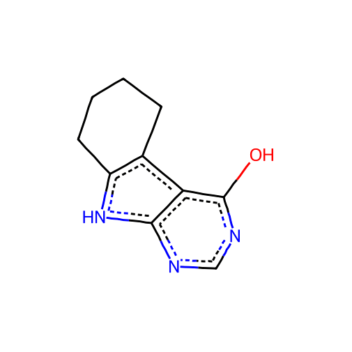 Oc1ncnc2[nH]c3c(c12)CCCC3